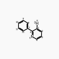 [2H]c1cccnc1-c1ccccc1